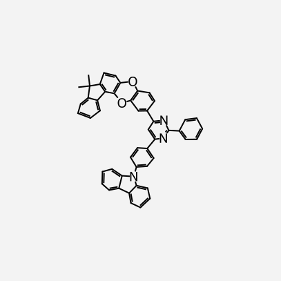 CC1(C)c2ccccc2-c2c1ccc1c2Oc2cc(-c3cc(-c4ccc(-n5c6ccccc6c6ccccc65)cc4)nc(-c4ccccc4)n3)ccc2O1